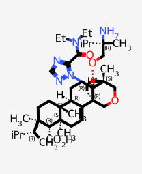 CCN(CC)C(=O)c1ncnn1[C@@H]1C[C@@]23COC[C@](C)([C@@H]2CC[C@H]2C3=CC[C@@]3(C)[C@H](C(=O)O)[C@@](C)([C@H](C)C(C)C)CC[C@]23C)[C@H]1OC[C@](C)(N)C(C)C